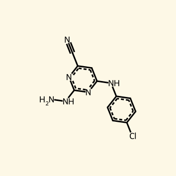 N#Cc1cc(Nc2ccc(Cl)cc2)nc(NN)n1